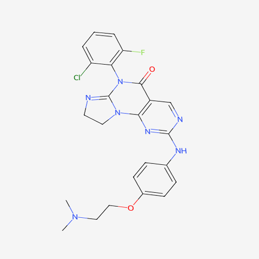 CN(C)CCOc1ccc(Nc2ncc3c(n2)N2CCN=C2N(c2c(F)cccc2Cl)C3=O)cc1